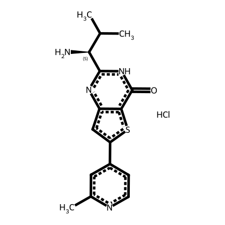 Cc1cc(-c2cc3nc([C@@H](N)C(C)C)[nH]c(=O)c3s2)ccn1.Cl